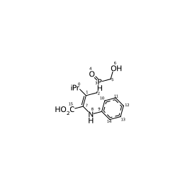 CC(C)C(C[PH](=O)CO)=C(Nc1ccccc1)C(=O)O